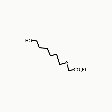 CCOC(=O)CSCCCCCCO